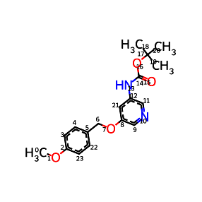 COc1ccc(COc2cncc(NC(=O)OC(C)(C)C)c2)cc1